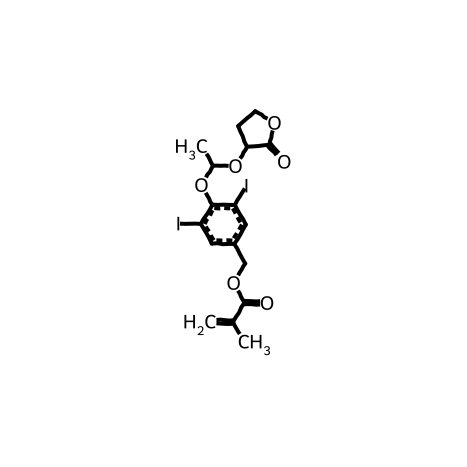 C=C(C)C(=O)OCc1cc(I)c(OC(C)OC2CCOC2=O)c(I)c1